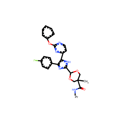 CC(C)NC(=O)C1(C)COC(c2nc(-c3ccc(F)cc3)c(-c3ccnc(Oc4ccccc4)n3)[nH]2)OC1